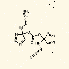 [N-]=[N+]=NNC1(O[N+](=O)OC2(NN=[N+]=N)C=NN=N2)C=NN=N1